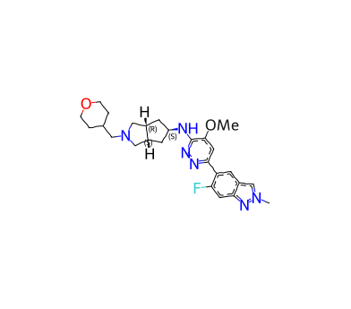 COc1cc(-c2cc3cn(C)nc3cc2F)nnc1N[C@H]1C[C@@H]2CN(CC3CCOCC3)C[C@@H]2C1